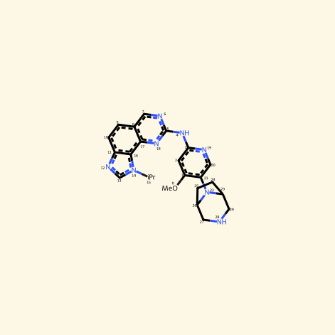 COc1cc(Nc2ncc3ccc4ncn(C(C)C)c4c3n2)ncc1N1C2CCC1CNC2